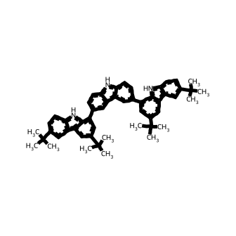 CC(C)(C)c1ccc2[nH]c3c(-c4ccc5[nH]c6ccc(-c7cc(C(C)(C)C)cc8c7[nH]c7ccc(C(C)(C)C)cc78)cc6c5c4)cc(C(C)(C)C)cc3c2c1